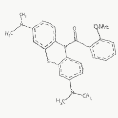 COc1ccccc1C(=O)N1c2ccc(N(C)C)cc2Sc2cc(N(C)C)ccc21